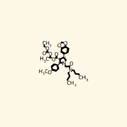 CCCCN(CCCC)C(=O)CN1C[C@H](c2ccc3c(c2)OCO3)[C@@H](C(=O)OC(C)OC(=O)OCC)[C@@H]1c1ccc(OC)cc1